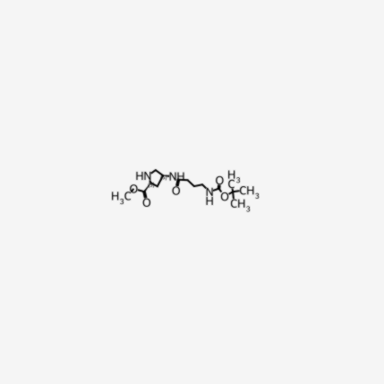 COC(=O)[C@@H]1C[C@H](NC(=O)CCCNC(=O)OC(C)(C)C)CN1